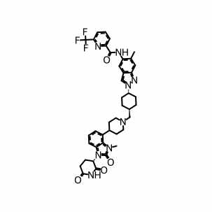 Cc1cc2nn([C@H]3CC[C@H](CN4CCC(c5cccc6c5n(C)c(=O)n6[C@H]5CCC(=O)NC5=O)CC4)CC3)cc2cc1NC(=O)c1cccc(C(F)(F)F)n1